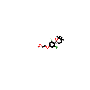 COCCOc1cc(F)c(B2CCC(C)(C)C(C)(C)O2)c(F)c1